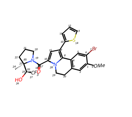 COc1cc2c(cc1Br)-c1c(-c3cccs3)cc(C(=O)N3CCC[C@]3(C)[C@H](O)C(F)(F)F)n1CC2